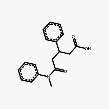 CN(C(=O)CC(CC(=O)O)c1ccccc1)c1ccccc1